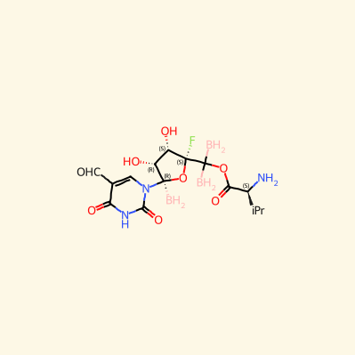 BC(B)(OC(=O)[C@@H](N)C(C)C)[C@@]1(F)O[C@@](B)(n2cc(C=O)c(=O)[nH]c2=O)[C@H](O)[C@@H]1O